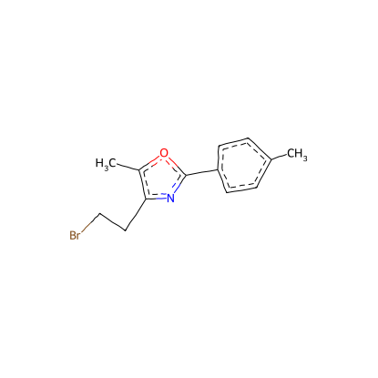 Cc1ccc(-c2nc(CCBr)c(C)o2)cc1